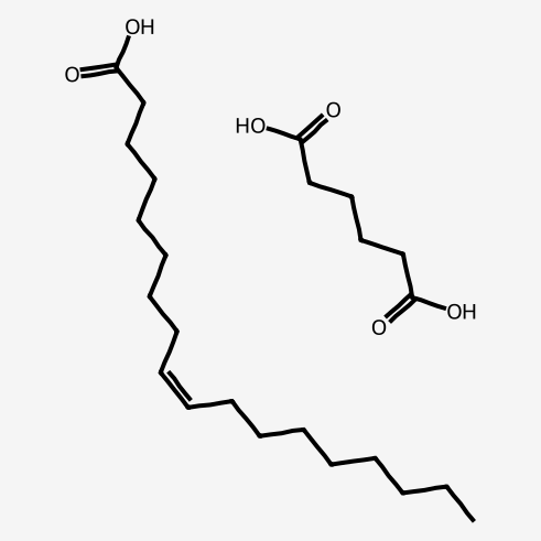 CCCCCCCC/C=C\CCCCCCCC(=O)O.O=C(O)CCCCC(=O)O